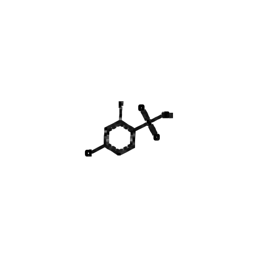 CC(C)(C)S(=O)(=O)c1ccc(Cl)cc1F